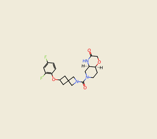 O=C1CO[C@H]2CCN(C(=O)N3CC4(CC(Oc5ccc(F)cc5F)C4)C3)C[C@H]2N1